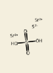 O=S(=O)(O)O.[S-2].[Sr+2].[Sr+2]